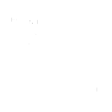 CCC#CCCCC(=O)NO